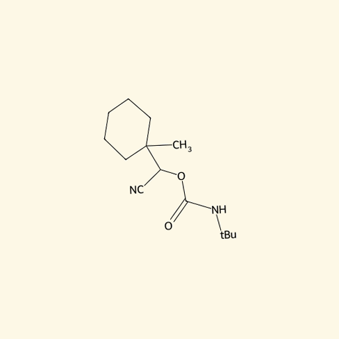 CC(C)(C)NC(=O)OC(C#N)C1(C)CCCCC1